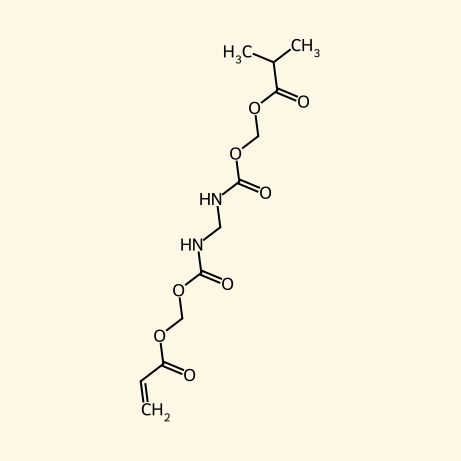 C=CC(=O)OCOC(=O)NCNC(=O)OCOC(=O)C(C)C